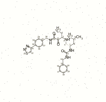 CCC(NC[C@H](CC(C)C)NC(=O)NCc1ccccc1)C(=O)C(=O)NCc1ccc(-c2csnn2)cc1